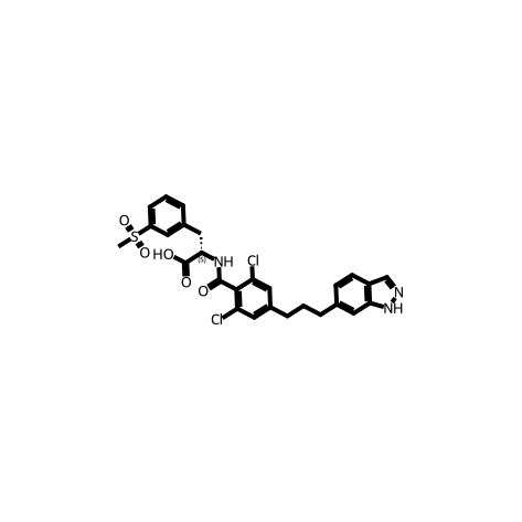 CS(=O)(=O)c1cccc(C[C@H](NC(=O)c2c(Cl)cc(CCCc3ccc4cn[nH]c4c3)cc2Cl)C(=O)O)c1